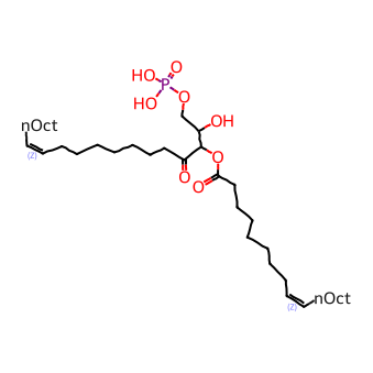 CCCCCCCC/C=C\CCCCCCCC(=O)OC(C(=O)CCCCCCC/C=C\CCCCCCCC)C(O)COP(=O)(O)O